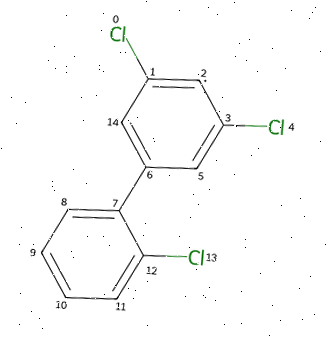 Clc1[c]c(Cl)cc(-c2ccccc2Cl)c1